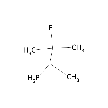 CC(P)C(C)(C)F